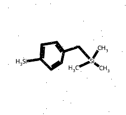 C[Si](C)(C)Cc1ccc([SiH3])cc1